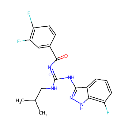 CC(C)CN/C(=N/C(=O)c1ccc(F)c(F)c1)Nc1n[nH]c2c(F)cccc12